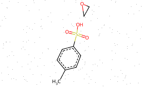 C1CO1.Cc1ccc(S(=O)(=O)O)cc1